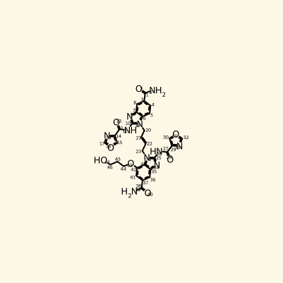 NC(=O)c1ccc2c(c1)nc(NC(=O)c1cocn1)n2CC=CCn1c(NC(=O)c2cocn2)nc2cc(C(N)=O)cc(OCCCO)c21